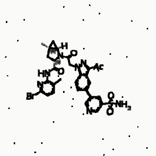 CC(=O)c1nn(CC(=O)N2[C@H](C(=O)Nc3nc(Br)ccc3C)C[C@@]3(C)C[C@@H]23)c2ccc(-c3cncc(S(N)(=O)=O)c3)cc12